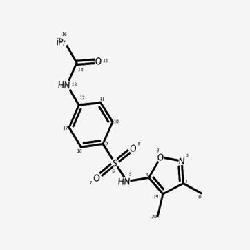 Cc1noc(NS(=O)(=O)c2ccc(NC(=O)C(C)C)cc2)c1C